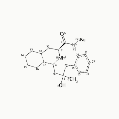 CC(O)([CH]C1N[C@H](C(=O)NC(C)(C)C)CC2CCCCC21)Cc1ccccc1